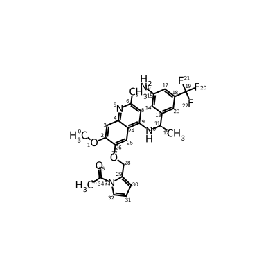 COc1cc2nc(C)cc(N[C@H](C)c3cc(N)cc(C(F)(F)F)c3)c2cc1OCc1cccn1C(C)=O